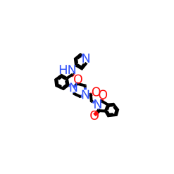 O=C(Nc1ccncc1)c1ccccc1N1CCN(C(=O)CN2C(=O)c3ccccc3C2=O)CC1